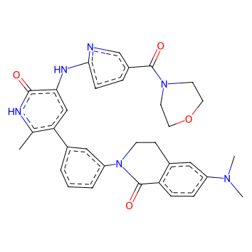 Cc1[nH]c(=O)c(Nc2ccc(C(=O)N3CCOCC3)cn2)cc1-c1cccc(N2CCc3cc(N(C)C)ccc3C2=O)c1